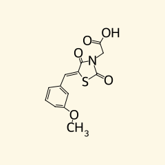 COc1cccc(/C=C2\SC(=O)N(CC(=O)O)C2=O)c1